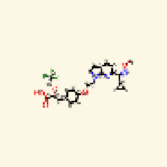 CO/N=C(\c1ccc2ccn(CCOc3ccc(CC(OCC(F)(F)F)C(=O)O)cc3)c2n1)C1CC1